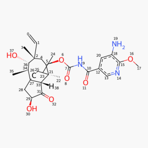 C=C[C@]1(C)C[C@@H](OC(=O)NC(=O)c2cnc(OC)c(N)c2)[C@]2(C)C(C)CC[C@]3(C[C@H](O)C(=O)[C@H]32)[C@@H](C)[C@@H]1O